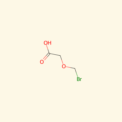 O=C(O)COCBr